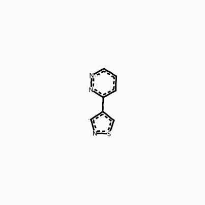 [c]1nscc1-c1cccnn1